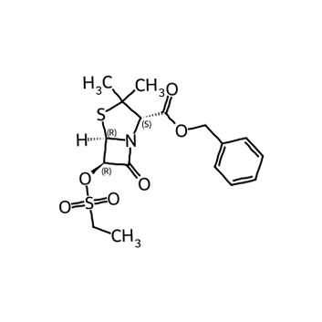 CCS(=O)(=O)O[C@@H]1C(=O)N2[C@@H]1SC(C)(C)[C@@H]2C(=O)OCc1ccccc1